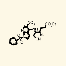 CCOC(=O)CCC(CC)C(CC#N)Nc1c([N+](=O)[O-])cnc2c1ccn2S(=O)(=O)c1ccccc1